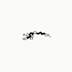 C#C[C@]1(CC)OC(OCCCC=C)C[C@@H]1C